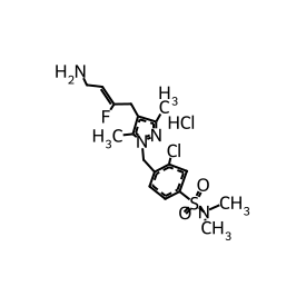 Cc1nn(Cc2ccc(S(=O)(=O)N(C)C)cc2Cl)c(C)c1C/C(F)=C/CN.Cl